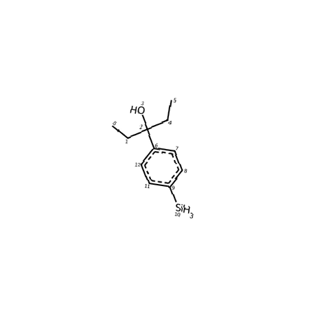 CCC(O)(CC)c1ccc([SiH3])cc1